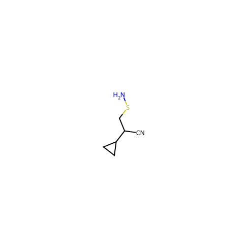 N#CC(CSN)C1CC1